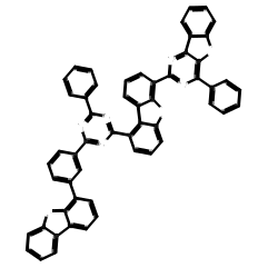 c1ccc(-c2nc(-c3cccc(-c4cccc5c4sc4ccccc45)c3)nc(-c3cccc4sc5c(-c6nc(-c7ccccc7)c7sc8ccccc8c7n6)cccc5c34)n2)cc1